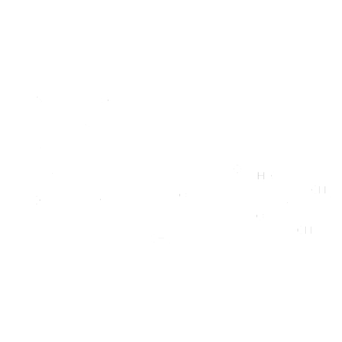 CC(OCC(=O)OC(C)(C)C)c1cc2c(s1)C(=O)c1ccsc1C2=O